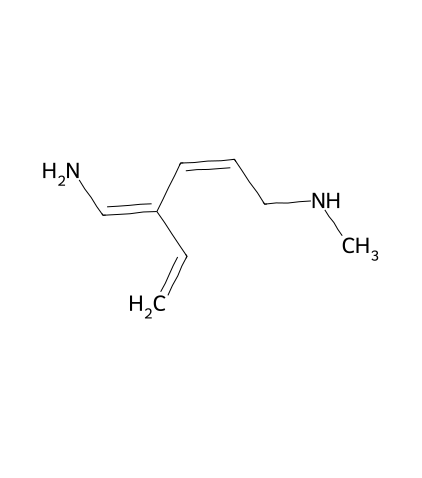 C=CC(/C=C\CNC)=C/N